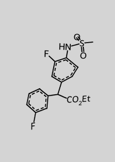 CCOC(=O)C(c1cccc(F)c1)c1ccc(NS(C)(=O)=O)c(F)c1